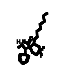 CCCCCCCCC1CC(F)(F)CCC1(C(N)=O)C(CC)c1ccccc1